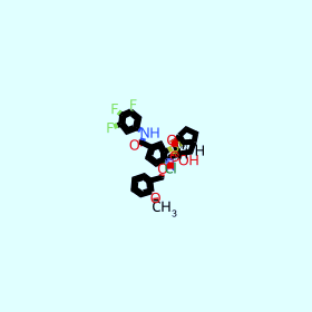 COc1ccccc1CO/N=C/[C@]1(O)CC2CC[C@@H](C1)[C@H]2S(=O)(=O)c1cc(C(=O)Nc2cc(F)c(F)c(F)c2)ccc1Cl